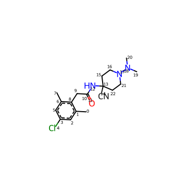 Cc1cc(Cl)cc(C)c1CC(=O)NC1(C#N)CCN(N(C)C)CC1